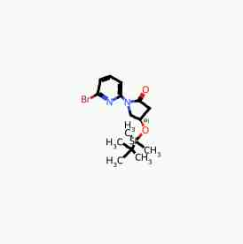 CC(C)(C)[Si](C)(C)O[C@@H]1CC(=O)N(c2cccc(Br)n2)C1